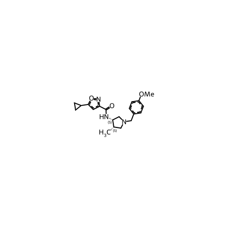 COc1ccc(CN2C[C@H](C)[C@H](NC(=O)c3cc(C4CC4)on3)C2)cc1